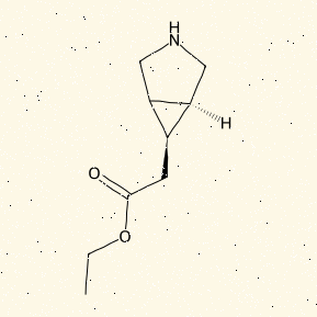 CCOC(=O)C[C@H]1C2CNC[C@H]21